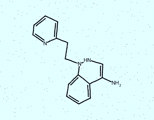 NC1=CNN(CCc2ccccn2)c2ccccc21